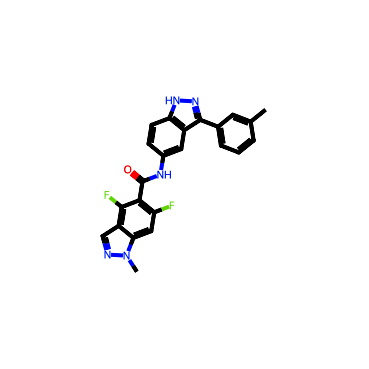 Cc1cccc(-c2n[nH]c3ccc(NC(=O)c4c(F)cc5c(cnn5C)c4F)cc23)c1